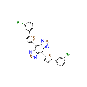 Brc1cccc(-c2ccc(-c3c4c(c(-c5ccc(-c6cccc(Br)c6)s5)c5nsnc35)N=S=N4)s2)c1